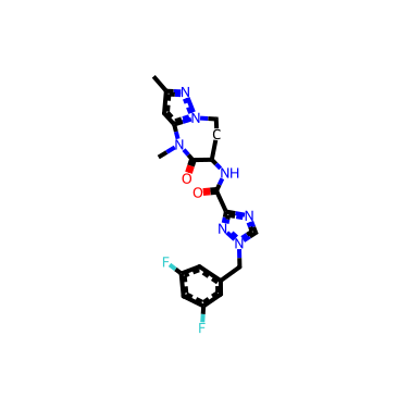 Cc1cc2n(n1)CCC(NC(=O)c1ncn(Cc3cc(F)cc(F)c3)n1)C(=O)N2C